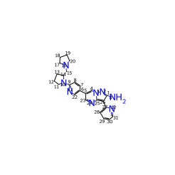 Nc1nn2cc(-c3ccc(N4CCC[C@@H]4CN4CCCC4)nc3)cnc2c1-c1ccccn1